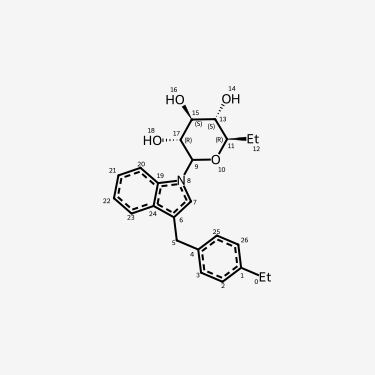 CCc1ccc(Cc2cn(C3O[C@H](CC)[C@@H](O)[C@H](O)[C@H]3O)c3ccccc23)cc1